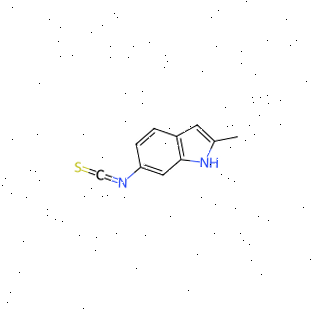 Cc1cc2ccc(N=C=S)cc2[nH]1